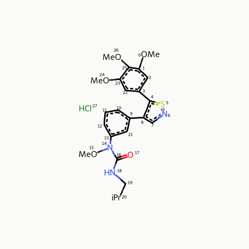 COc1cc(-c2sncc2-c2cccc(N(OC)C(=O)NCC(C)C)c2)cc(OC)c1OC.Cl